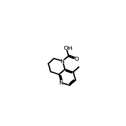 Cc1ccnc2c1N(C(=O)O)CCC2